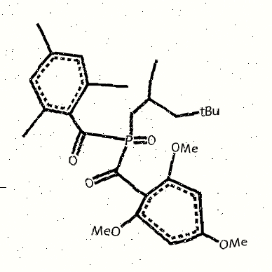 COc1cc(OC)c(C(=O)P(=O)(CC(C)CC(C)(C)C)C(=O)c2c(C)cc(C)cc2C)c(OC)c1